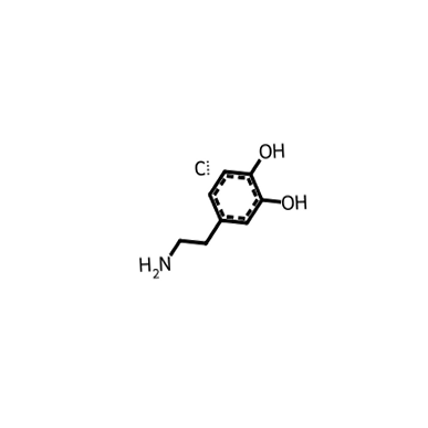 NCCc1ccc(O)c(O)c1.[C]